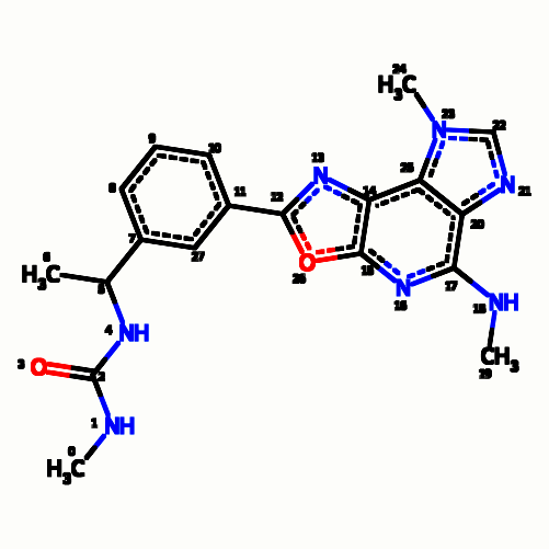 CNC(=O)NC(C)c1cccc(-c2nc3c(nc(NC)c4ncn(C)c43)o2)c1